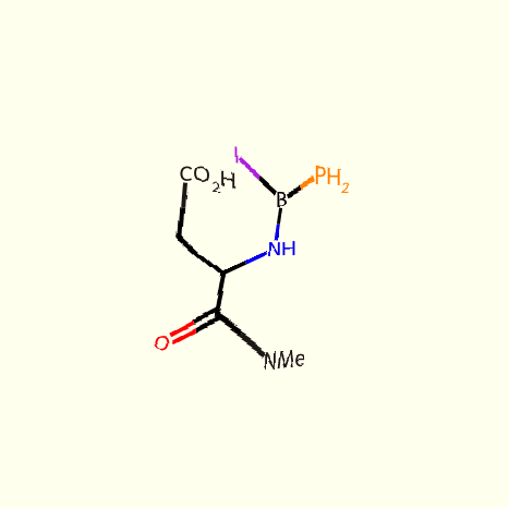 CNC(=O)C(CC(=O)O)NB(P)I